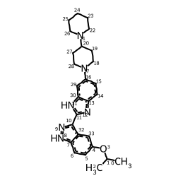 CC(C)Oc1ccc2[nH]nc(-c3nc4ccc(N5CCC(N6CCCCC6)CC5)cc4[nH]3)c2c1